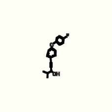 CC(C)C(O)C#Cc1ccc(Oc2ccc(F)cc2)cc1